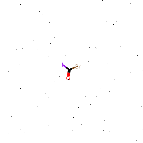 O=C(Br)I